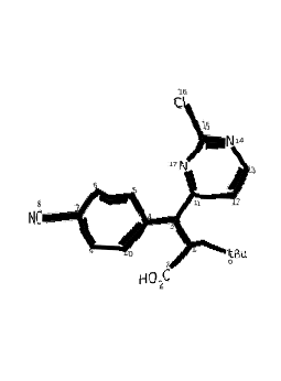 CC(C)(C)C(C(=O)O)C(c1ccc(C#N)cc1)c1ccnc(Cl)n1